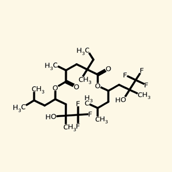 CCC(C)(CC(C)C(=O)OC(CC(C)C)CC(C)(O)C(F)(F)F)C(=O)OC(CC(C)C)CC(C)(O)C(F)(F)F